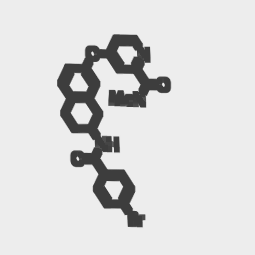 CNC(=O)c1cc(Oc2ccc3c(c2)CC(NC(=O)c2ccc(Br)cc2)CC3)ccn1